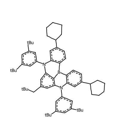 CC(C)(C)Cc1cc2c3c(c1)N(c1cc(C(C)(C)C)cc(C(C)(C)C)c1)c1cc(C4CCCCC4)ccc1B3c1ccc(C3CCCCC3)cc1N2c1cc(C(C)(C)C)cc(C(C)(C)C)c1